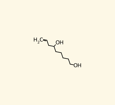 C=CCC(O)CCCCCO